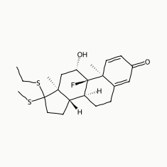 CCSC1(SC)CC[C@H]2[C@@H]3CCC4=CC(=O)C=C[C@]4(C)[C@@]3(F)[C@@H](O)C[C@@]21C